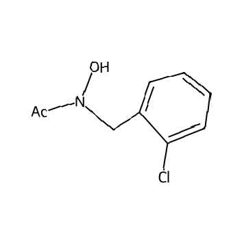 CC(=O)N(O)Cc1ccccc1Cl